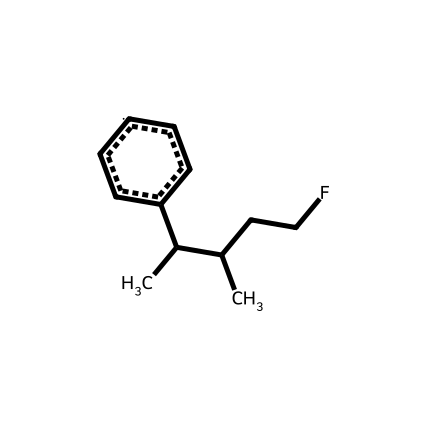 CC(CCF)C(C)c1cc[c]cc1